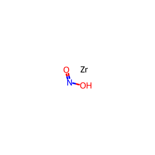 O=NO.[Zr]